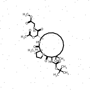 COC(=O)CNC(=O)C(OC(C)=O)[C@@H]1CCCCCCCCCC(C)(C)C(NC(=O)OC(C)(C)C)C(=O)N2CC[C@H](C)[C@H]2C(=O)N1